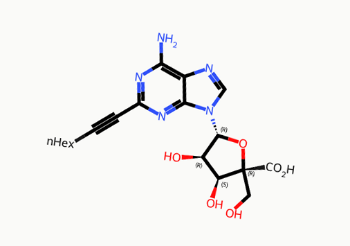 CCCCCCC#Cc1nc(N)c2ncn([C@@H]3O[C@@](CO)(C(=O)O)[C@@H](O)[C@H]3O)c2n1